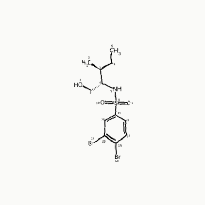 CC[C@H](C)[C@@H](CO)NS(=O)(=O)c1ccc(Br)c(Br)c1